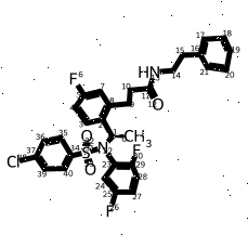 C[C@H](c1ccc(F)cc1CCC(=O)NCCc1ccccc1)N(c1cc(F)ccc1F)S(=O)(=O)c1ccc(Cl)cc1